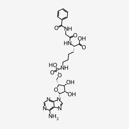 Nc1ncnc2c1ncn2[C@@H]1O[C@H](COP(=O)(O)NCCCC[C@H](NC(=O)CNC(=O)c2ccccc2)C(=O)O)[C@@H](O)[C@H]1O